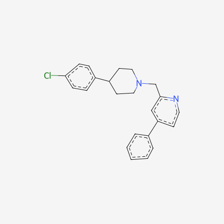 Clc1ccc(C2CCN(Cc3cc(-c4ccccc4)ccn3)CC2)cc1